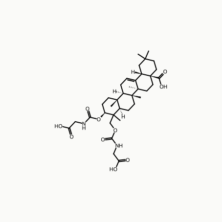 CC1(C)CC[C@]2(C(=O)O)CC[C@]3(C)C(=CC[C@@H]4[C@@]5(C)CC[C@H](OC(=O)NCC(=O)O)C(C)(COC(=O)NCC(=O)O)[C@@H]5CC[C@]43C)[C@@H]2C1